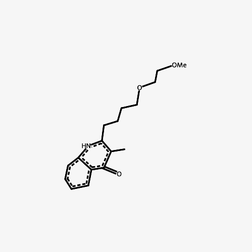 COCCOCCCCc1[nH]c2ccccc2c(=O)c1C